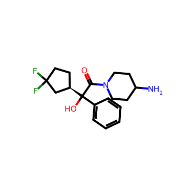 NC1CCN(C(=O)C(O)(c2ccccc2)[C@@H]2CCC(F)(F)C2)CC1